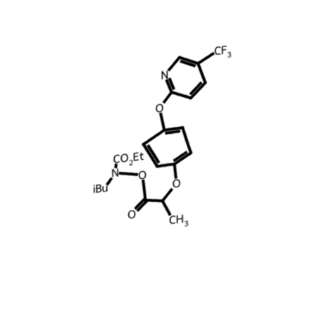 CCOC(=O)N(OC(=O)C(C)Oc1ccc(Oc2ccc(C(F)(F)F)cn2)cc1)C(C)CC